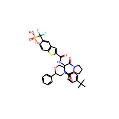 CC(C)(C)c1ccc(CC(NC(=O)c2cc3cc(C(F)(F)P(=O)(O)O)ccc3s2)C(=O)N2CCCC2C(=O)N2CCOC(c3ccccc3)C2)cc1